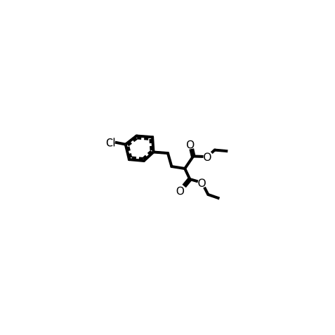 CCOC(=O)C(CCc1ccc(Cl)cc1)C(=O)OCC